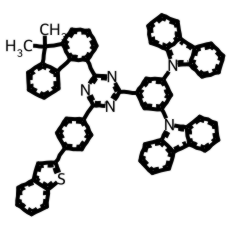 CC1(C)c2ccccc2-c2c(-c3nc(-c4ccc(-c5cc6ccccc6s5)cc4)nc(-c4cc(-n5c6ccccc6c6ccccc65)cc(-n5c6ccccc6c6ccccc65)c4)n3)cccc21